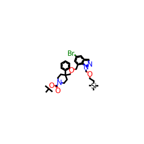 CC(C)(C)OC(=O)N1CCC(COCc2cc(Br)cc3cnn(COCC[Si](C)(C)C)c23)(c2ccccc2)CC1